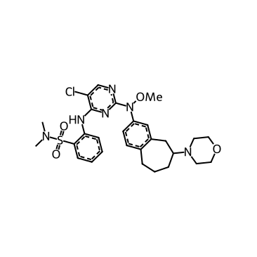 CON(c1ccc2c(c1)CC(N1CCOCC1)CCC2)c1ncc(Cl)c(Nc2ccccc2S(=O)(=O)N(C)C)n1